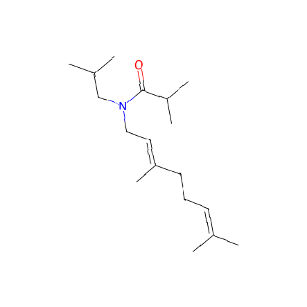 CC(C)=CCC/C(C)=C/CN(CC(C)C)C(=O)C(C)C